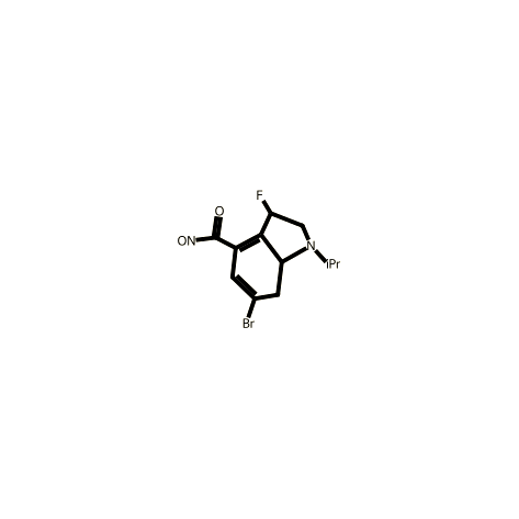 CC(C)N1CC(F)C2=C(C(=O)N=O)C=C(Br)CC21